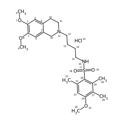 COc1cc2c(cc1OC)CN(CCCCNS(=O)(=O)c1c(C)cc(OC)c(C)c1C)CC2.Cl